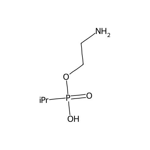 CC(C)P(=O)(O)OCCN